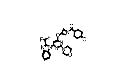 O=C1CCC(C(=O)N2CC(Oc3cc(-n4c(C(F)F)nc5ccccc54)nc(N4CCOCC4)n3)C2)CC1